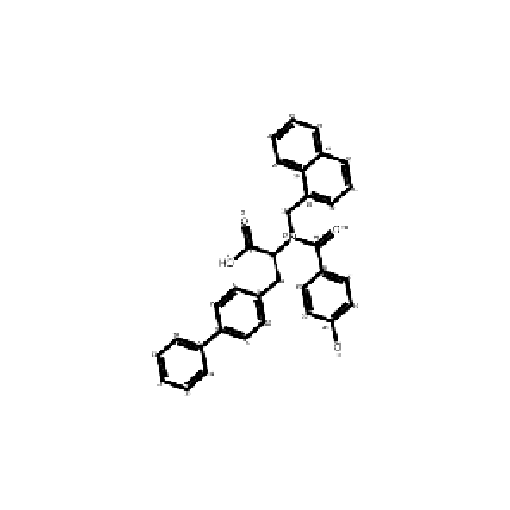 O=C(O)[C@H](Cc1ccc(-c2ccccc2)cc1)N(Cc1cccc2ccccc12)C(=O)c1ccc(Cl)cc1